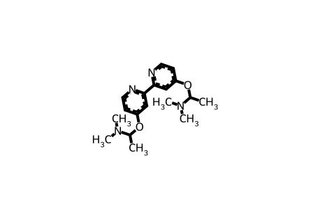 CC(Oc1ccnc(-c2cc(OC(C)N(C)C)ccn2)c1)N(C)C